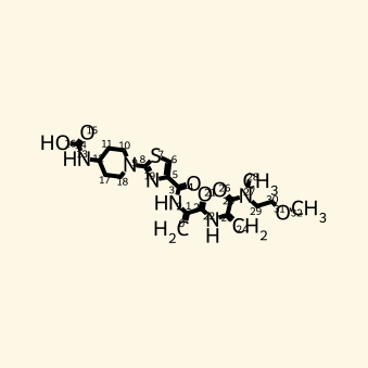 C=C(NC(=O)c1csc(N2CCC(NC(=O)O)CC2)n1)C(=O)NC(=C)C(=O)N(C)CCOC